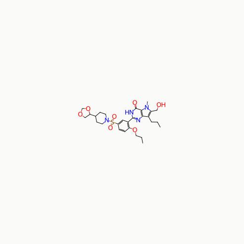 CCCOc1ccc(S(=O)(=O)N2CCC(C3COCO3)CC2)cc1-c1nc2c(CCC)c(CO)n(C)c2c(=O)[nH]1